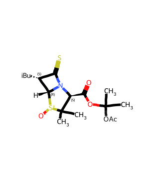 CCC(C)[C@@H]1C(=S)N2[C@@H]1[S+]([O-])C(C)(C)[C@@H]2C(=O)OC(C)(C)OC(C)=O